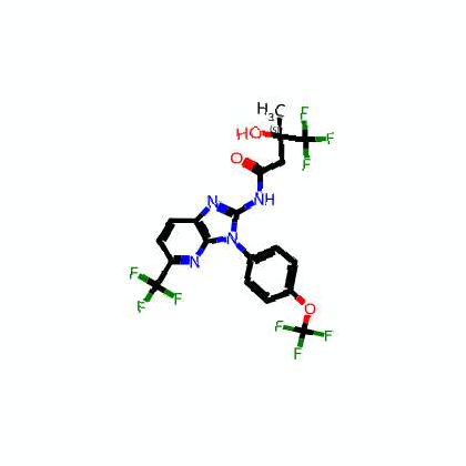 C[C@](O)(CC(=O)Nc1nc2ccc(C(F)(F)F)nc2n1-c1ccc(OC(F)(F)F)cc1)C(F)(F)F